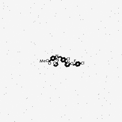 COC(=O)c1ccc2nc(Cc3ccc(-c4cccc(OCc5ccc(Cl)cc5F)n4)c(Cl)c3)n(C[C@@H]3CCCO3)c2c1